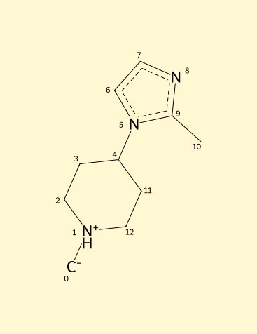 [CH2-][NH+]1CCC(n2ccnc2C)CC1